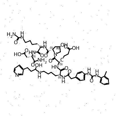 Cc1ccccc1NC(=O)Nc1ccc(CC(=O)N[C@@H](CCCCNC(O)CCc2cccnc2)C(=O)N[C@@H](CCCC(=O)O)C(=O)N2C[C@H](O)C[C@H]2C(=O)N[C@@H](CCCCNC(N)=O)C(=O)N[C@@H](CC(=O)O)C(N)=O)cc1